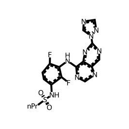 CCCS(=O)(=O)Nc1ccc(F)c(Nc2ncnc3cnc(-n4cncn4)nc23)c1F